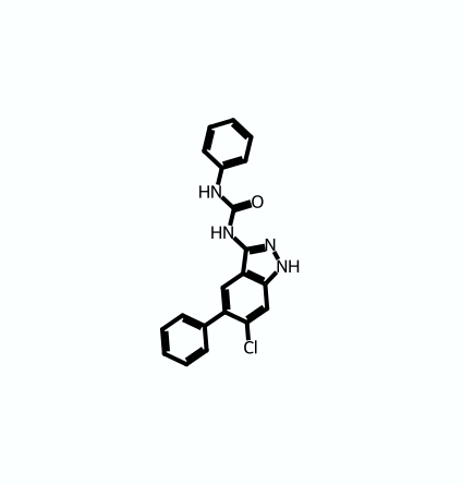 O=C(Nc1ccccc1)Nc1n[nH]c2cc(Cl)c(-c3ccccc3)cc12